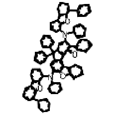 c1ccc(-c2cccc3c2oc2c(N(c4ccccc4)c4cc5c(c6c4oc4ccccc46)-c4c(cc(N(c6ccccc6)c6cccc7c6oc6c(-c8ccccc8)cccc67)c6c4oc4ccccc46)C5(c4ccccc4)c4ccccc4)cccc23)cc1